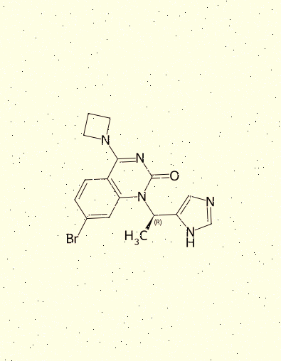 C[C@H](c1cnc[nH]1)n1c(=O)nc(N2CCC2)c2ccc(Br)cc21